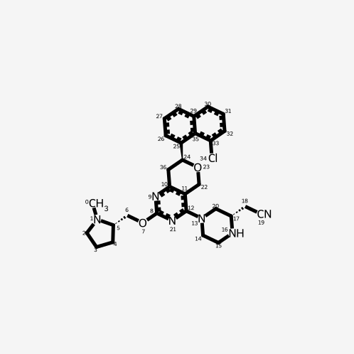 CN1CCC[C@H]1COc1nc2c(c(N3CCN[C@@H](CC#N)C3)n1)CO[C@H](c1cccc3cccc(Cl)c13)C2